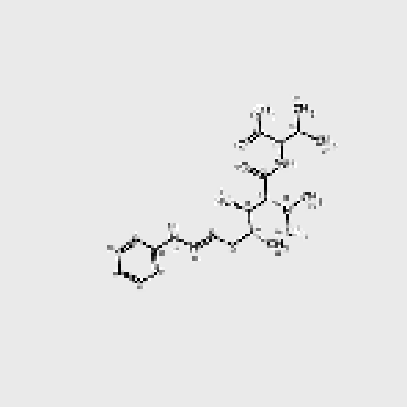 CC(=O)[C@H](NC(=O)[C@@H]([C@H](O)[C@H](C)C/C=N/Nc1ccccc1)N(C)C)C(C)C